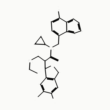 O=C(C1CNCC[C@@]12OCc1cc(F)c(F)cc12)N(Cc1ccc(Br)c2ccccc12)C1CC1